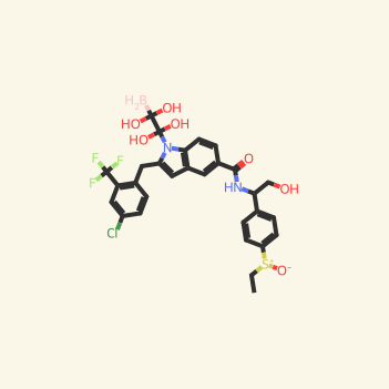 BC(O)(O)C(O)(O)n1c(Cc2ccc(Cl)cc2C(F)(F)F)cc2cc(C(=O)NC(CO)c3ccc([S+]([O-])CC)cc3)ccc21